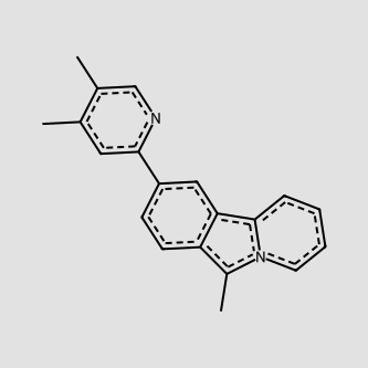 Cc1cnc(-c2ccc3c(C)n4ccccc4c3c2)cc1C